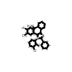 NC(=O)c1ccccc1-c1nc(-c2ccccc2)n(-c2cccc(Cl)c2F)c1-c1ccc(F)c(Cl)c1